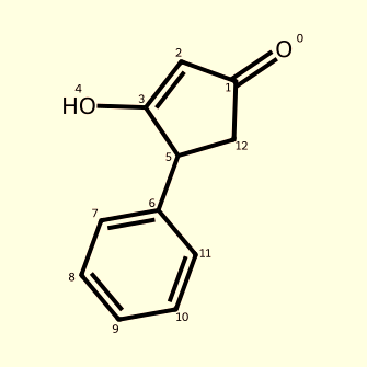 O=C1C=C(O)C(c2ccccc2)C1